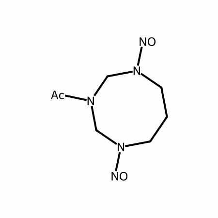 CC(=O)N1CN(N=O)CCCN(N=O)C1